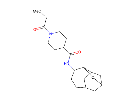 COCC(=O)N1CCC(C(=O)NC2CCC3CC4CC(C3)C2C4)CC1